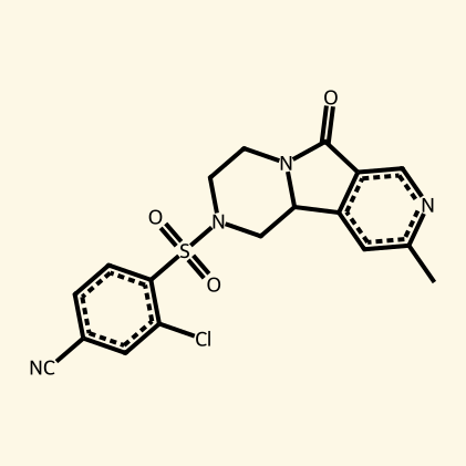 Cc1cc2c(cn1)C(=O)N1CCN(S(=O)(=O)c3ccc(C#N)cc3Cl)CC21